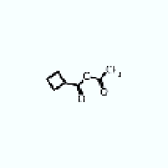 O=C(OC(=O)C(F)(F)F)C1CCC1